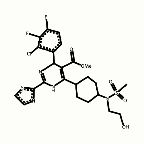 COC(=O)C1=C(C2CCC(N(CCO)S(C)(=O)=O)CC2)NC(c2nccs2)=NC1c1ccc(F)c(F)c1Cl